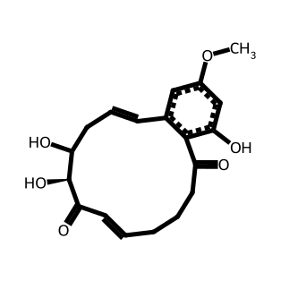 COc1cc(O)c2c(c1)/C=C/CC(O)[C@H](O)C(=O)/C=C/CCCC2=O